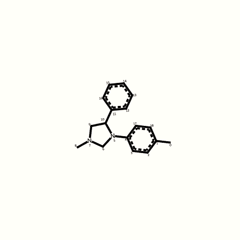 Cc1ccc(N2CN(C)CC2c2ccccc2)cc1